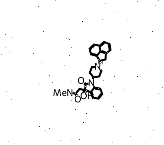 CNC(=O)C[C@]1(O)C(=O)N(C2CCN([C@H]3Cc4cccc5cccc3c45)CC2)c2ccccc21